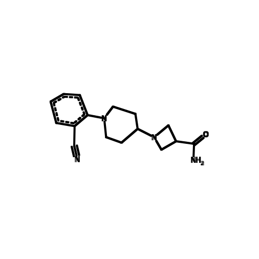 N#Cc1ccccc1N1CCC(N2CC(C(N)=O)C2)CC1